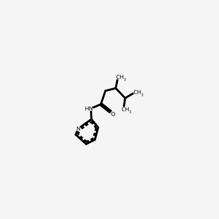 CC(C)C(C)CC(=O)Nc1ccccn1